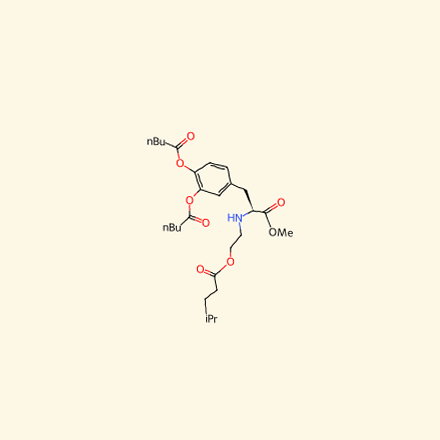 CCCCC(=O)Oc1ccc(C[C@H](NCCOC(=O)CCC(C)C)C(=O)OC)cc1OC(=O)CCCC